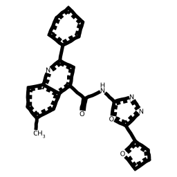 Cc1ccc2nc(-c3ccccc3)cc(C(=O)Nc3nnc(-c4ccco4)o3)c2c1